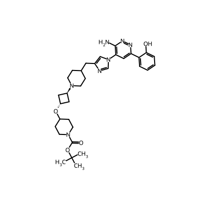 CC(C)(C)OC(=O)N1CCC(O[C@H]2C[C@H](N3CCC(Cc4cn(-c5cc(-c6ccccc6O)nnc5N)cn4)CC3)C2)CC1